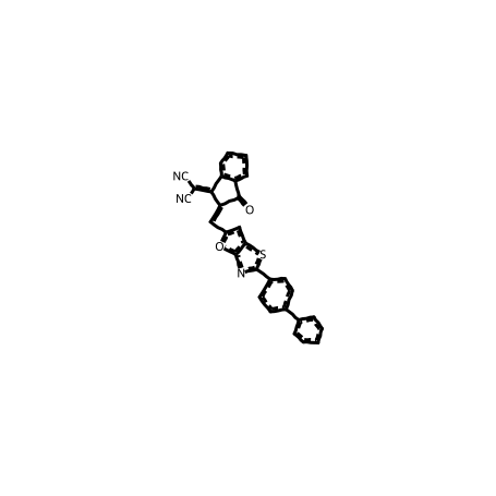 N#CC(C#N)=C1/C(=C/c2cc3sc(-c4ccc(-c5ccccc5)cc4)nc3o2)C(=O)c2ccccc21